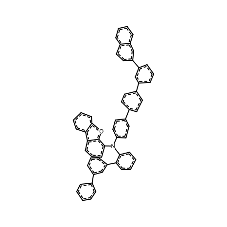 c1ccc(-c2cccc(-c3ccccc3N(c3ccc(-c4ccc(-c5cccc(-c6ccc7ccccc7c6)c5)cc4)cc3)c3cccc4c3oc3ccccc34)c2)cc1